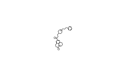 O=C(CCC1CCN(CCCc2ccccc2)CC1)c1cc2c3c(c1)CCC(=O)N3CCC2